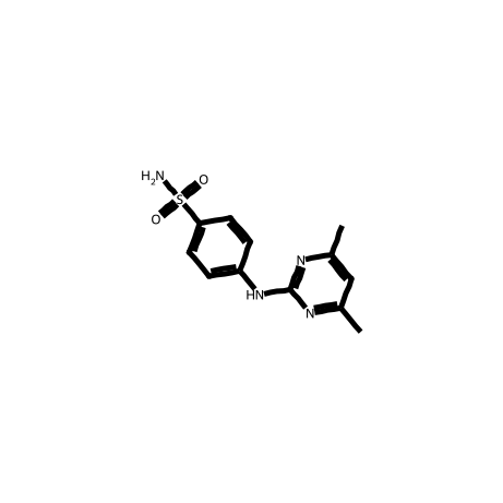 Cc1cc(C)nc(Nc2ccc(S(N)(=O)=O)cc2)n1